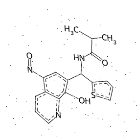 CC(C)C(=O)NC(c1cccs1)c1cc(N=O)c2cccnc2c1O